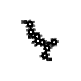 CC1c2cc(-c3cc(-c4cccc(O)c4)ccc3Nc3ccccc3)ccc2-c2ccc3c([nH]c4ccc(-c5cccc(O)c5)cc43)c2C1C